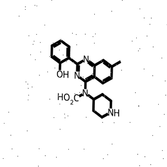 Cc1ccc2c(N(C(=O)O)C3CCNCC3)nc(-c3ccccc3O)nc2c1